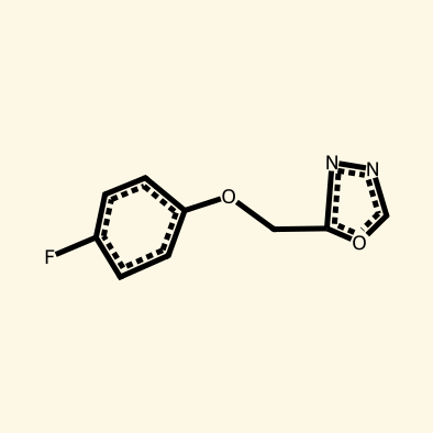 Fc1ccc(OCc2nnco2)cc1